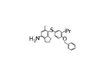 Cc1cc(N)c2c(c1Sc1ccc(OCc3ccccc3)c(C(C)C)c1)CCC2